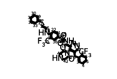 O=C(c1ccccc1C(F)(F)F)c1cnnc(C(=O)NS(=O)(=O)c2ccc(NCCSc3ccccc3)c(C(F)(F)F)c2)c1N1CCNCC1